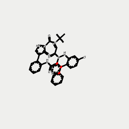 CC(C)(C)OC(=O)n1[nH]cc(-c2ccccc2NC(=O)C(Cc2ccccc2)N(Nc2cc(Cl)ccc2-n2cnnn2)C(=O)C=O)c1=O